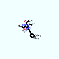 C#CC(=O)C1NC(C(=O)C#C)N(CCC#N)c2nc(C#Cc3ccc(OC)c(OC)c3)n(C)c21